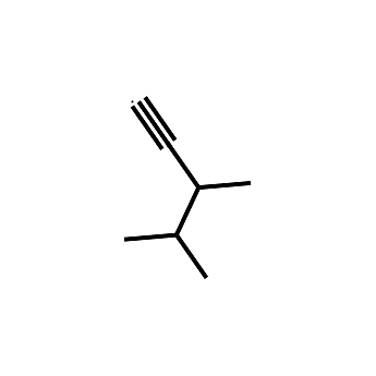 [C]#CC(C)C(C)C